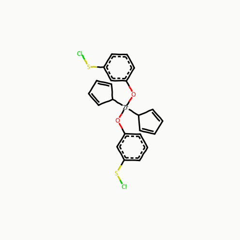 ClSc1cccc([O][Zr]([O]c2cccc(SCl)c2)([CH]2C=CC=C2)[CH]2C=CC=C2)c1